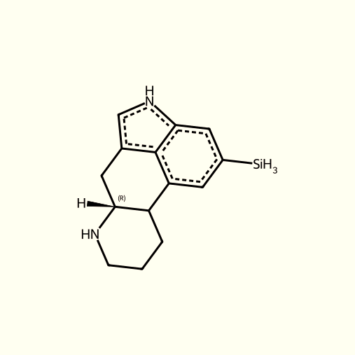 [SiH3]c1cc2c3c(c[nH]c3c1)C[C@H]1NCCCC21